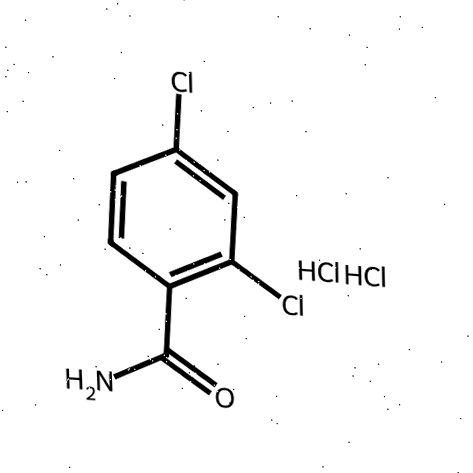 Cl.Cl.NC(=O)c1ccc(Cl)cc1Cl